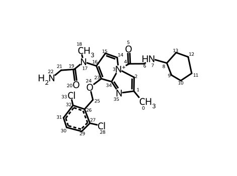 CC1=C[N+]2(C(=O)CNC3CCCCC3)C=CC(N(C)C(=O)CN)=C(OCc3c(Cl)cccc3Cl)C2=N1